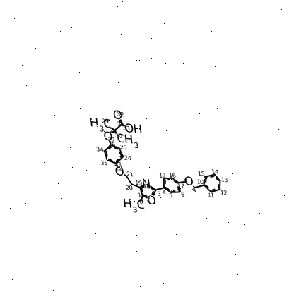 Cc1oc(-c2ccc(OCc3ccccc3)cc2)nc1CCOc1ccc(OC(C)(C)C(=O)O)cc1